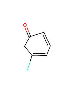 O=C1C=CC=C(F)C1